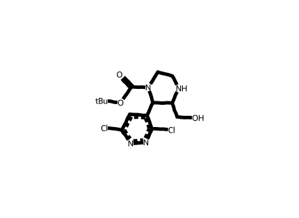 CC(C)(C)OC(=O)N1CCNC(CO)C1c1cc(Cl)nnc1Cl